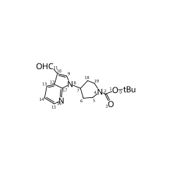 CC(C)(C)OC(=O)N1CCC(n2cc(C=O)c3cccnc32)CC1